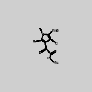 Cn1c(Br)c(C(=O)C(=O)NC(C)(C)C)c(Cl)c1C=O